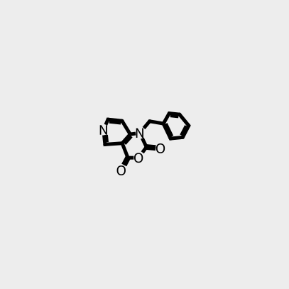 O=c1oc(=O)n(Cc2ccccc2)c2ccncc12